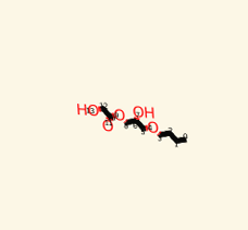 CCCCOCC(O)COC(=O)CO